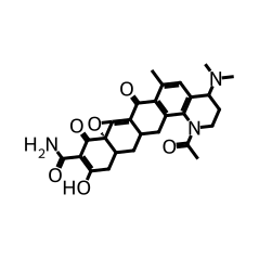 CC(=O)N1CCC(N(C)C)c2cc(C)c3c(c21)CC1CC2CC(O)=C(C(N)=O)C(=O)[C@]24OC4=C1C3=O